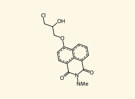 CNN1C(=O)c2cccc3c(OCC(O)CCl)ccc(c23)C1=O